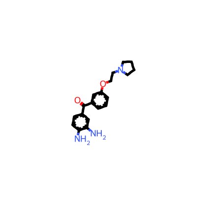 Nc1ccc(C(=O)c2cccc(OCCN3CCCC3)c2)cc1N